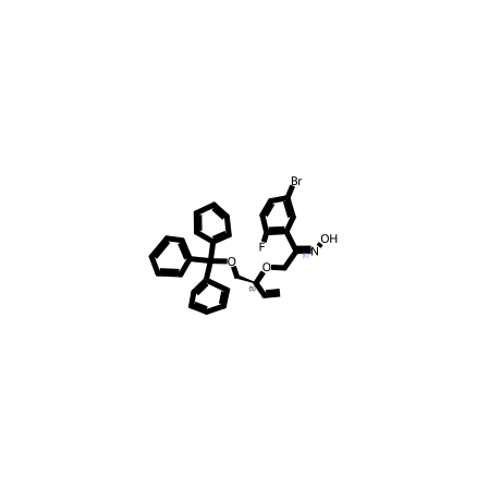 C=C[C@@H](COC(c1ccccc1)(c1ccccc1)c1ccccc1)OC/C(=N/O)c1cc(Br)ccc1F